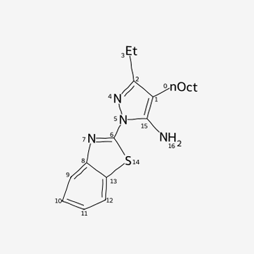 CCCCCCCCc1c(CC)nn(-c2nc3ccccc3s2)c1N